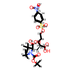 CC(C)(C)OC(=O)N(C(C)(C)C)[C@](C[C@@H](CCCOS(=O)(=O)c1ccc([N+](=O)[O-])cc1)C(=O)O)(C(=O)O)C(C)(C)C